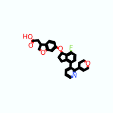 O=C(O)CC1COc2cc(OC3CCc4c(-c5cccnc5C5=CCOCC5)ccc(F)c43)ccc21